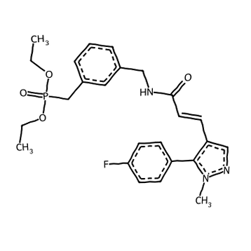 CCOP(=O)(Cc1cccc(CNC(=O)/C=C/c2cnn(C)c2-c2ccc(F)cc2)c1)OCC